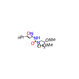 CCCc1cc(NC(=O)N(C)CC(OC)OC)no1